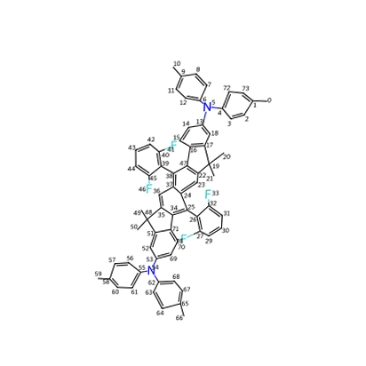 Cc1ccc(N(c2ccc(C)cc2)c2ccc3c(c2)C(C)(C)c2cc4c(-c5c(F)cccc5F)c5c(cc4c(-c4c(F)cccc4F)c2-3)C(C)(C)c2cc(N(c3ccc(C)cc3)c3ccc(C)cc3)ccc2-5)cc1